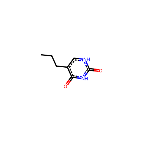 CCCc1c[nH]c(=O)[nH]c1=O